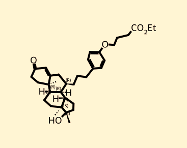 CCOC(=O)CCCOc1ccc(CCC[C@@H]2CC3=CC(=O)CC[C@]3(C)[C@H]3CC[C@@]4(C)[C@@H](CC[C@]4(C)O)[C@H]23)cc1